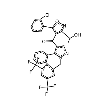 CC(O)c1noc(-c2ccccc2Cl)c1C(=O)c1nnn(Cc2cc(C(F)(F)F)cc(C(F)(F)F)c2)c1-c1ccccc1